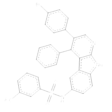 O=S(=O)(Nc1ccc2[nH]c3ncc(-c4ccc(Br)cc4)c(-c4ccccc4)c3c2c1)c1cccc(C(F)(F)F)c1